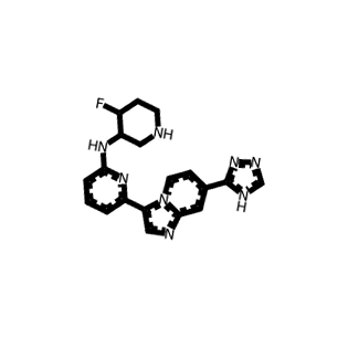 FC1CCNCC1Nc1cccc(-c2cnc3cc(-c4nnc[nH]4)ccn23)n1